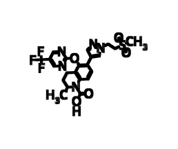 C[C@H]1CCc2c(ccc(-c3cnn(CCS(C)(=O)=O)c3)c2Oc2ncc(C(F)(F)F)cn2)N1C(=O)O